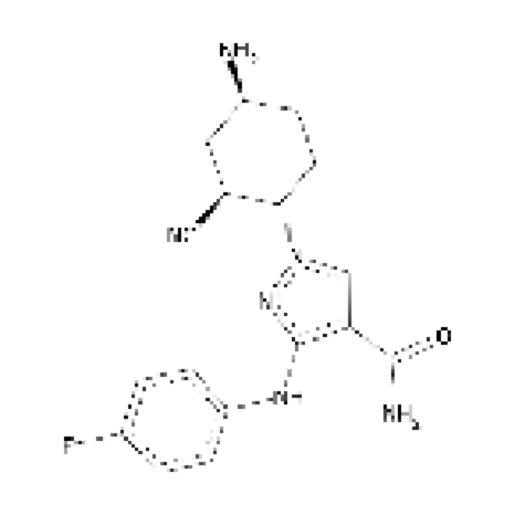 N#C[C@H]1C[C@@H](N)CC[C@@H]1n1cc(C(N)=O)c(Nc2ccc(F)cc2)n1